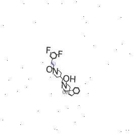 C[C@@H]1CN(CC(O)C2CCN(C(=O)/C=C/c3cc(F)cc(F)c3)CC2)CCC12C=Cc1ccccc12